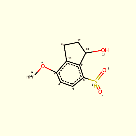 CCCOc1ccc([SH](=O)=O)c2c1CCC2O